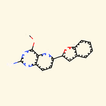 CCOc1nc(N)nc2ccc(-c3cc4ccccc4o3)nc12